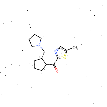 Cc1cnc(C(=O)C2CCC[C@@H]2CN2CCCC2)s1